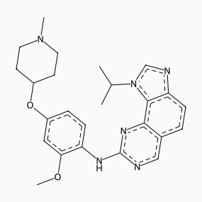 COc1cc(OC2CCN(C)CC2)ccc1Nc1ncc2ccc3ncn(C(C)C)c3c2n1